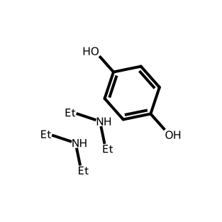 CCNCC.CCNCC.Oc1ccc(O)cc1